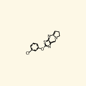 Clc1cccc(Oc2nc3c(s2)=NC2=CCCN2C=3)c1